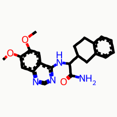 COc1cc2ncnc(NC(C(N)=O)C3CCc4ccccc4C3)c2cc1OC